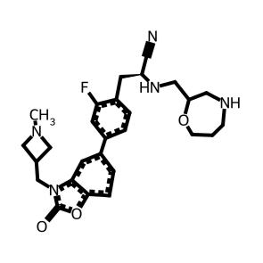 CN1CC(Cn2c(=O)oc3ccc(-c4ccc(C[C@@H](C#N)NCC5CNCCCO5)c(F)c4)cc32)C1